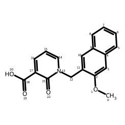 COc1cc2ccccc2cc1Cn1cccc(C(=O)O)c1=O